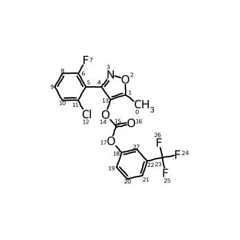 Cc1onc(-c2c(F)cccc2Cl)c1OC(=O)Oc1cccc(C(F)(F)F)c1